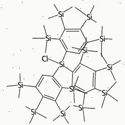 C[Si](C)(C)c1cc([Si](Cl)(c2cc([Si](C)(C)C)c([Si](C)(C)C)c([Si](C)(C)C)c2[Si](C)(C)C)c2cc([Si](C)(C)C)c([Si](C)(C)C)c([Si](C)(C)C)c2[Si](C)(C)C)c([Si](C)(C)C)c([Si](C)(C)C)c1[Si](C)(C)C